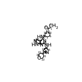 C=CC(=O)N1CCC[C@@H](Nc2nc(Nc3cnn(C4CCOCC4)c3)nc3[nH]ncc23)C1